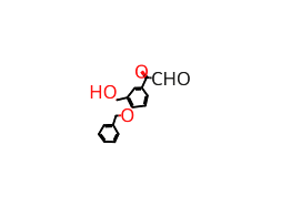 O=CC(=O)c1ccc(OCc2ccccc2)c(CO)c1